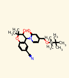 CC1(C)Oc2ccc(C#N)cc2C(n2ccc(CO[Si](C)(C)C(C)(C)C)cc2=O)C1O